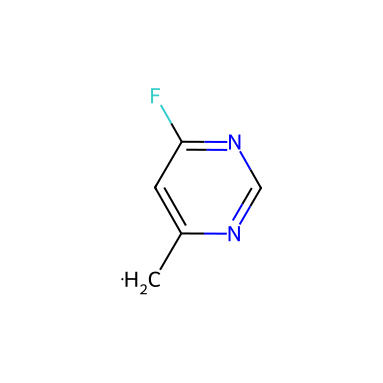 [CH2]c1cc(F)ncn1